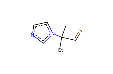 CCC(C)(C=S)n1ccnc1